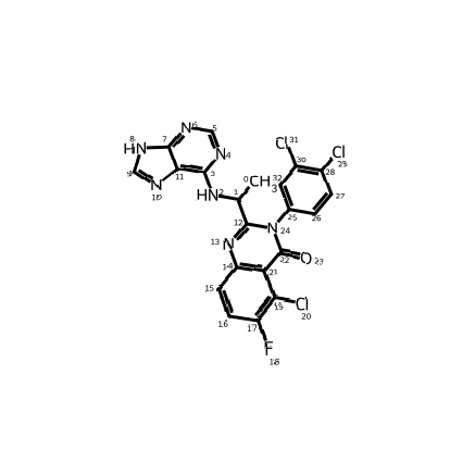 CC(Nc1ncnc2[nH]cnc12)c1nc2ccc(F)c(Cl)c2c(=O)n1-c1ccc(Cl)c(Cl)c1